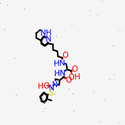 Cc1ccccc1SN(O)N1CC(C(=O)NC(CNC(=O)CCCCc2ccc3c(n2)NCCC3)C(=O)O)C1